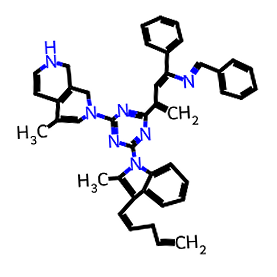 C=CC/C=C\c1c(C)n(-c2nc(C(=C)/C=C(\N=C\c3ccccc3)c3ccccc3)nc(N3C=C(C)C4=C(CNC=C4)C3)n2)c2ccccc12